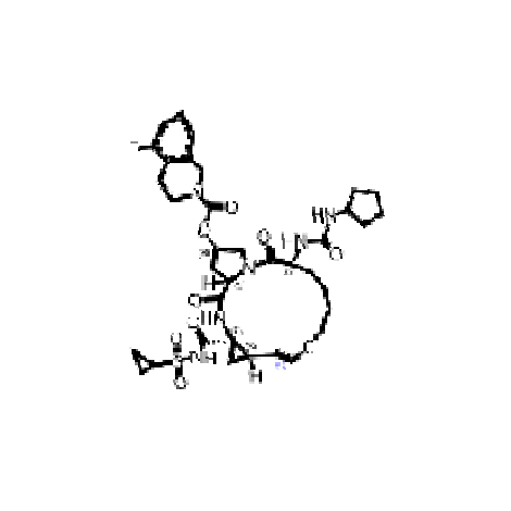 O=C(NC1CCCC1)N[C@H]1CCCCC/C=C/[C@@H]2C[C@@]2(C(=O)NS(=O)(=O)C2CC2)NC(=O)[C@@H]2C[C@@H](OC(=O)N3CCc4c(F)cccc4C3)CN2C1=O